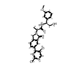 COc1cccc([C@@H](CO)NC(=O)C(C)N2Cc3ccc(-c4nc(Cl)ncc4Cl)cc3C2=O)c1